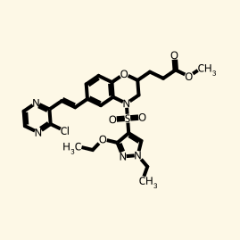 CCOc1nn(CC)cc1S(=O)(=O)N1CC(CCC(=O)OC)Oc2ccc(C=Cc3nccnc3Cl)cc21